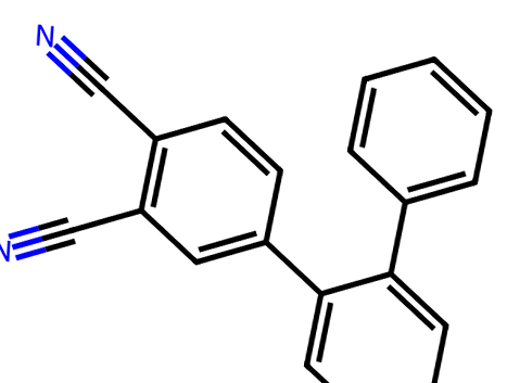 N#Cc1ccc(-c2ccccc2-c2ccccc2)cc1C#N